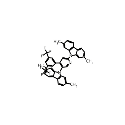 Cc1ccc2c3ccc(C)cc3n(-c3cc(-c4cc(C(F)(F)F)cc(C(F)(F)F)c4)c(-n4c5cc(C)ccc5c5ccc(C)cc54)cn3)c2c1